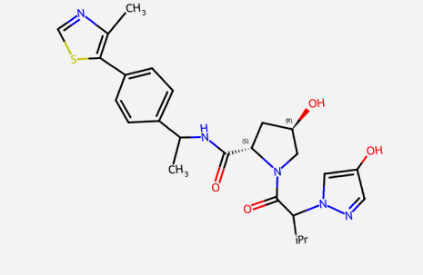 Cc1ncsc1-c1ccc(C(C)NC(=O)[C@@H]2C[C@@H](O)CN2C(=O)C(C(C)C)n2cc(O)cn2)cc1